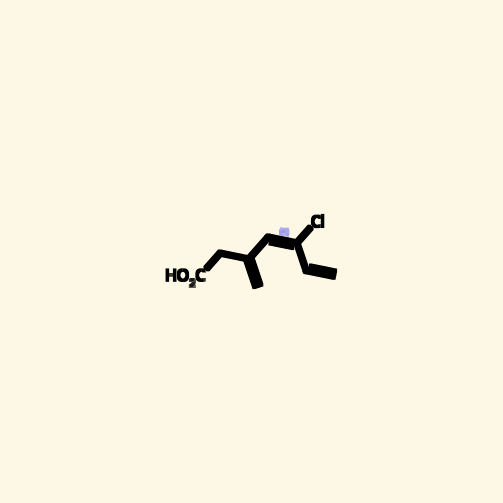 C=C/C(Cl)=C\C(=C)CC(=O)O